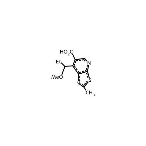 CCC(OC)c1c(C(=O)O)cnc2sc(C)nc12